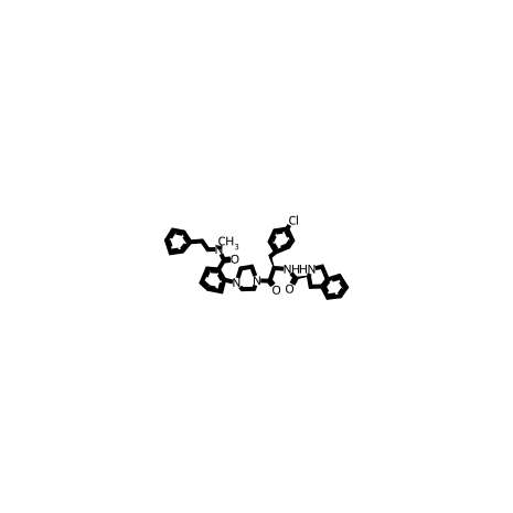 CN(CCc1ccccc1)C(=O)c1ccccc1N1CCN(C(=O)[C@@H](Cc2ccc(Cl)cc2)NC(=O)[C@@H]2Cc3ccccc3CN2)CC1